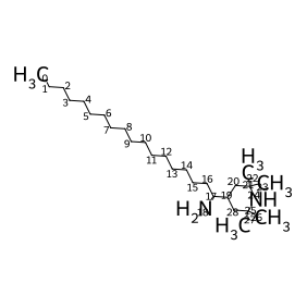 CCCCCCCCCCCCCCCCCC(N)C1CC(C)(C)NC(C)(C)C1